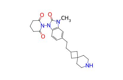 Cn1c(=O)n(N2C(=O)CCCC2=O)c2ccc(CCC3CC4(CCNCC4)C3)cc21